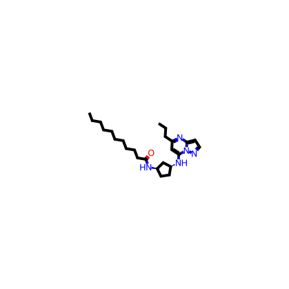 CCCCCCCCCCC(=O)N[C@@H]1CC[C@@H](Nc2cc(CCC)nc3ccnn23)C1